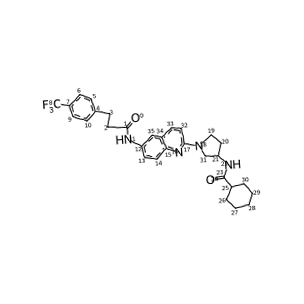 O=C(CCc1ccc(C(F)(F)F)cc1)Nc1ccc2nc(N3CCC(NC(=O)C4CCCCC4)C3)ccc2c1